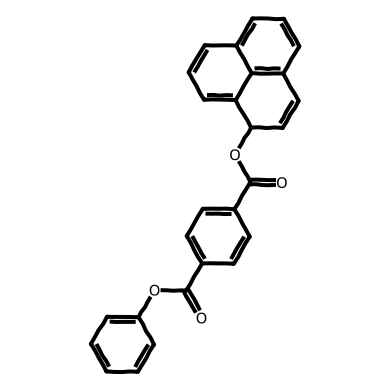 O=C(Oc1ccccc1)c1ccc(C(=O)OC2C=Cc3cccc4cccc2c34)cc1